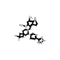 COc1cc(C)c2[nH]ccc2c1CN1CCC2(C[C@H]1c1ccc(-c3nnn[nH]3)nc1)CC(F)(F)C2